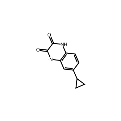 O=C1[N]c2cc(C3CC3)ccc2NC1=O